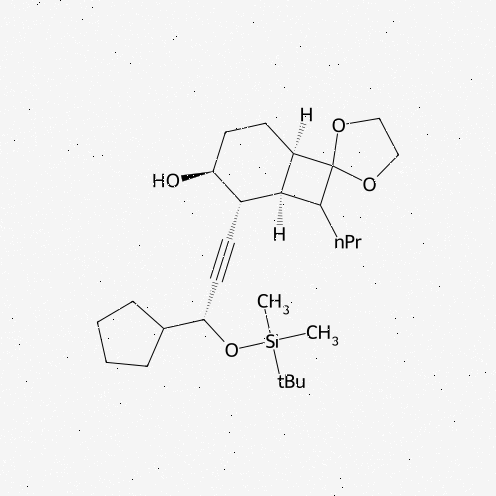 CCCC1[C@H]2[C@H](C#C[C@H](O[Si](C)(C)C(C)(C)C)C3CCCC3)[C@@H](O)CC[C@H]2C12OCCO2